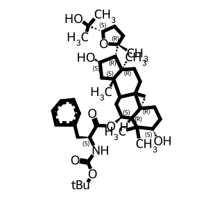 CC(C)(C)OC(=O)N[C@@H](Cc1ccccc1)C(=O)O[C@H]1CC2C3(CC[C@]4(C)[C@@H]([C@@]5(C)CC[C@@H](C(C)(C)O)O5)[C@@H](O)C[C@@]24C)C[C@@]32CC[C@H](O)C(C)(C)[C@H]12